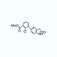 COC(=O)c1cccc(-c2ccc3c(c2)CC(=O)N3)c1Cl